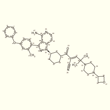 Cc1cc(Oc2ccccc2)ccc1-c1nn([C@@H]2CCCC(C(=O)C(C#N)=CC(C)(C)N3CCN(C4COC4)CC3)C2)c2ccnc(N)c12